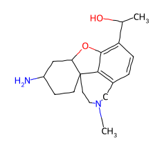 CC(O)c1ccc2c3c1OC1CC(N)CCC31CCN(C)C2